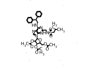 CC(=O)OCC1OC(n2cnc3c(NCC(c4ccccc4)c4ccccc4)nc(CNS(=O)(=O)CC(C)C)nc32)C(OC(C)=O)C1OC(C)=O